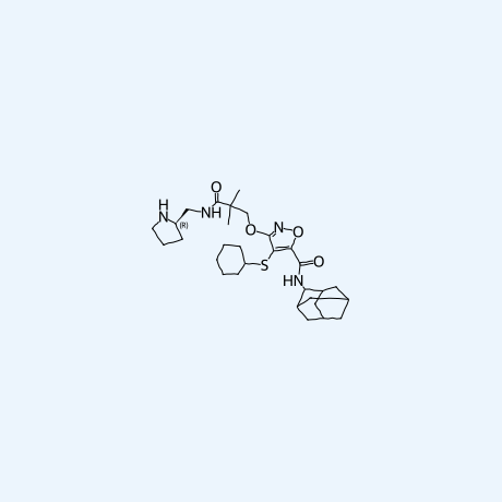 CC(C)(COc1noc(C(=O)NC2C3CC4CC(C3)CC2C4)c1SC1CCCCC1)C(=O)NC[C@H]1CCCN1